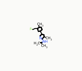 C=C(C)Nc1ncc(-c2ccc(C)c(CCF)c2)cc1C